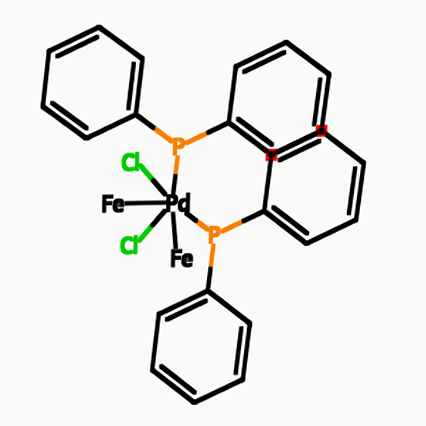 [Cl][Pd]([Cl])([Fe])([Fe])([P](c1ccccc1)c1ccccc1)[P](c1ccccc1)c1ccccc1